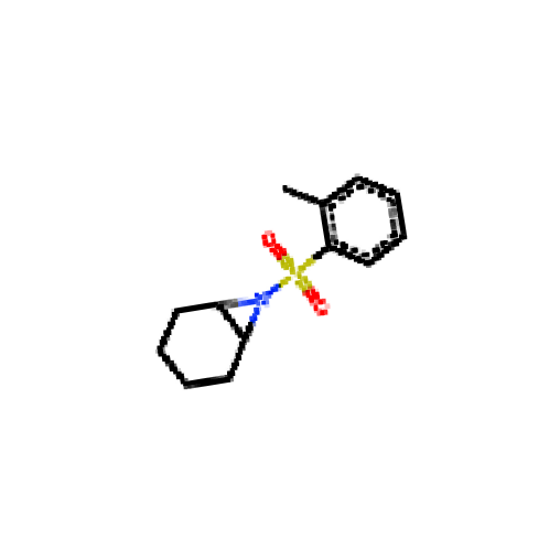 Cc1ccccc1S(=O)(=O)N1C2CCCCC21